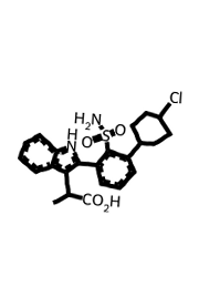 CC(C(=O)O)c1c(-c2cccc(C3CCC(Cl)CC3)c2S(N)(=O)=O)[nH]c2ccccc12